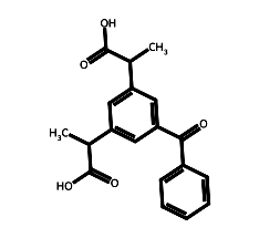 CC(C(=O)O)c1cc(C(=O)c2ccccc2)cc(C(C)C(=O)O)c1